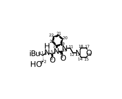 CC[C@H](C)[C@@H](CO)NC(=O)n1c(=O)n(CCN2CCOCC2)c2ccccc21